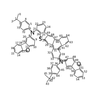 CC(C)c1ccc(N(c2ccc3oc4ccccc4c3c2)c2cccc3c2sc2cc4c5ccc(N(c6ccc(C(C)(C)C)cc6)c6ccc7oc8ccccc8c7c6)cc5c5ccccc5c4cc23)cc1